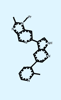 Cc1ncccc1-c1cnc2[nH]cc(-c3cc4c(cn3)nc(C)n4C(C)C)c2c1